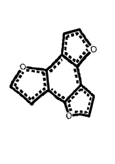 c1cc2c(o1)c1ccoc1c1ccoc21